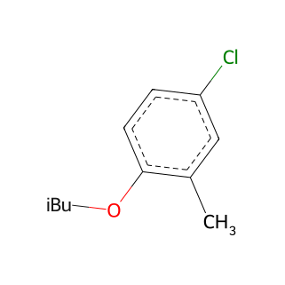 CCC(C)Oc1ccc(Cl)cc1C